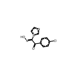 O=C(/C(=N/O)n1ccnc1)c1ccc(Cl)cc1